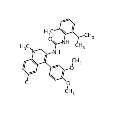 COc1ccc(C2=C(NC(=O)Nc3c(C)cccc3C(C)C)CN(C)c3ccc(Cl)cc32)cc1OC